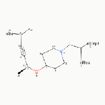 CCCCCCCC(CCCCCC)CN1CCC(O[C@@H](C)C#CC(C)CCCC)CC1